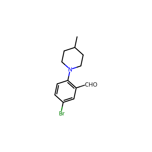 CC1CCN(c2ccc(Br)cc2C=O)CC1